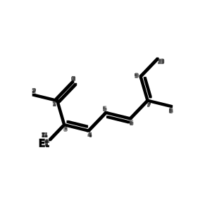 C=C(C)C(=CC=CC(C)=CC)CC